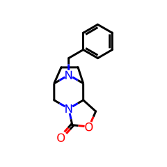 O=C1OCC2C3CCC(CN12)N3Cc1ccccc1